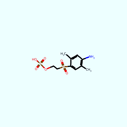 Cc1cc(S(=O)(=O)CCOS(=O)(=O)O)c(C)cc1N